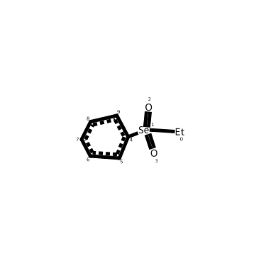 [CH2]C[Se](=O)(=O)c1ccccc1